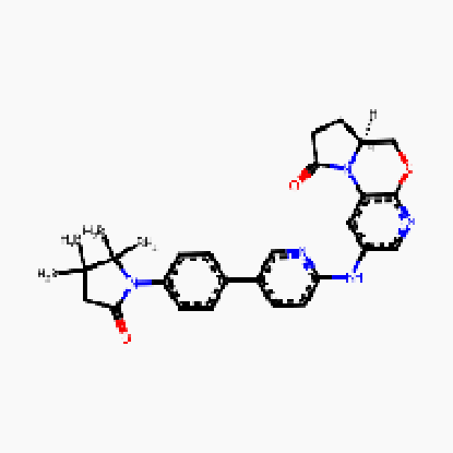 BC1(B)CC(=O)N(c2ccc(-c3ccc(Nc4cnc5c(c4)N4C(=O)CC[C@H]4CO5)nc3)cc2)C1(B)B